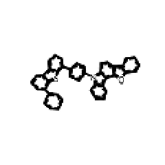 c1ccc(-c2cccc3c2sc2c(-c4ccc(-n5c6ccccc6c6c7oc8ccccc8c7ccc65)cc4)cccc23)cc1